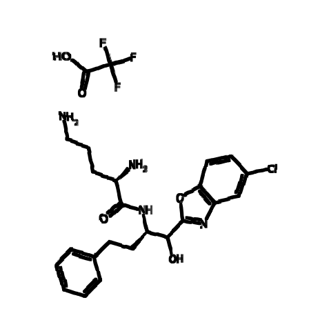 NCCC[C@@H](N)C(=O)N[C@H](CCc1ccccc1)C(O)c1nc2cc(Cl)ccc2o1.O=C(O)C(F)(F)F